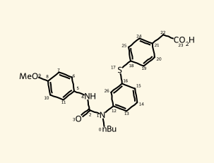 CCCCN(C(=O)Nc1ccc(OC)cc1)c1cccc(Sc2ccc(CC(=O)O)cc2)c1